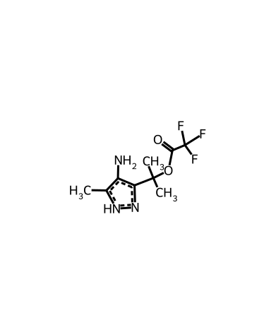 Cc1[nH]nc(C(C)(C)OC(=O)C(F)(F)F)c1N